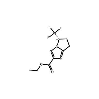 CCOC(=O)c1nc2n(n1)[C@H](C(F)(F)F)CC2